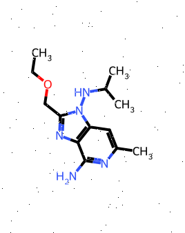 CCOCc1nc2c(N)nc(C)cc2n1NC(C)C